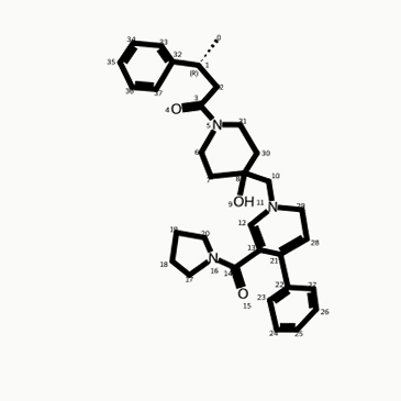 C[C@H](CC(=O)N1CCC(O)(CN2C=C(C(=O)N3CCCC3)C(c3ccccc3)=CC2)CC1)c1ccccc1